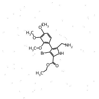 CCOC(=O)c1[nH]c(CN)c(-c2ccc(OC)c(OC)c2OC)c1Br